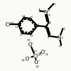 CN(C)/C=C(\C=[N+](C)C)c1ccc(Cl)cc1.[O-][Cl+3]([O-])([O-])[O-]